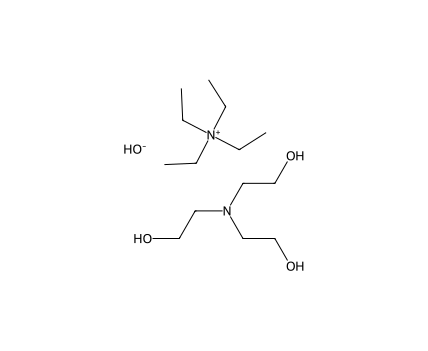 CC[N+](CC)(CC)CC.OCCN(CCO)CCO.[OH-]